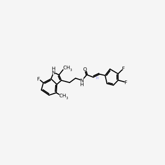 Cc1[nH]c2c(F)ccc(C)c2c1CCNC(=O)/C=C/c1ccc(F)c(F)c1